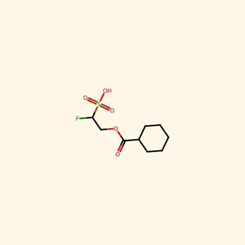 O=C(OCC(F)S(=O)(=O)O)C1CCCCC1